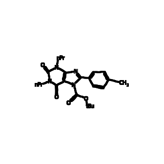 CCCn1c(=O)c2c(nc(-c3ccc(C)cc3)n2C(=O)OC(C)(C)C)n(CCC)c1=O